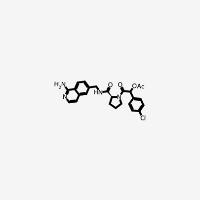 CC(=O)OC(C(=O)N1CCC[C@H]1C(=O)NCc1ccc2c(N)nccc2c1)c1ccc(Cl)cc1